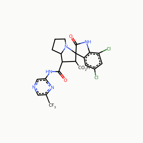 O=C(Nc1cncc(C(F)(F)F)n1)C1C2CCCN2C2(C(=O)Nc3c(Cl)cc(Cl)cc32)C1C(=O)O